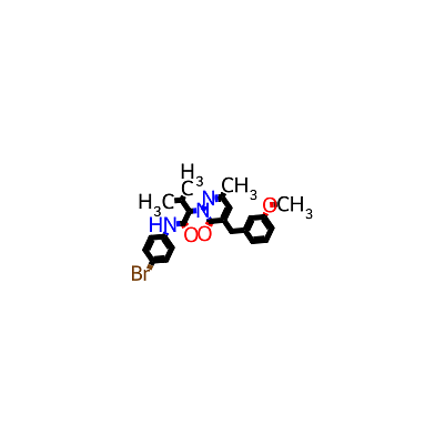 COc1cccc(Cc2cc(C)nn(C(C(=O)Nc3ccc(Br)cc3)C(C)C)c2=O)c1